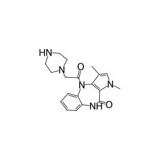 Cc1cn(C)c2c1N(C(=O)CN1CCNCC1)c1ccccc1NC2=O